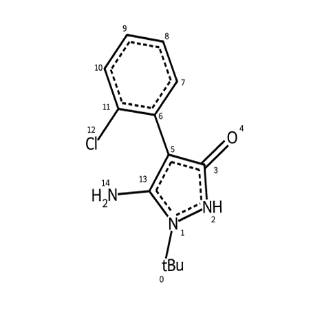 CC(C)(C)n1[nH]c(=O)c(-c2ccccc2Cl)c1N